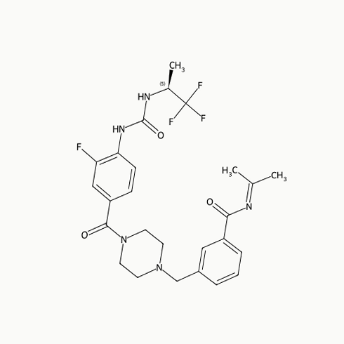 CC(C)=NC(=O)c1cccc(CN2CCN(C(=O)c3ccc(NC(=O)N[C@@H](C)C(F)(F)F)c(F)c3)CC2)c1